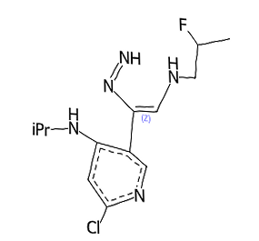 CC(F)CN/C=C(\N=N)c1cnc(Cl)cc1NC(C)C